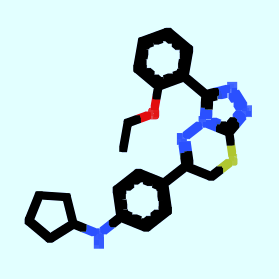 CCOc1ccccc1-c1nnc2n1N=C(c1ccc(NC3CCCC3)cc1)CS2